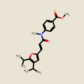 COC(=O)c1ccc(N(C)C(=O)C=Cc2cc(C(C)C)c(C(C)C)o2)cc1